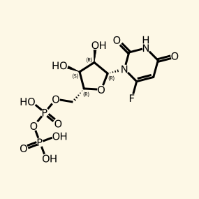 O=c1cc(F)n([C@@H]2O[C@H](COP(=O)(O)OP(=O)(O)O)[C@@H](O)[C@H]2O)c(=O)[nH]1